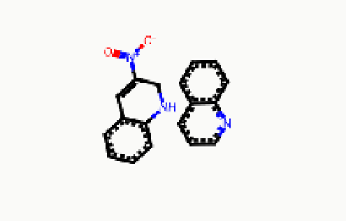 O=[N+]([O-])C1=Cc2ccccc2NC1.c1ccc2ncccc2c1